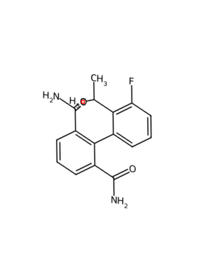 CC(C)c1c(F)cccc1-c1c(C(N)=O)cccc1C(N)=O